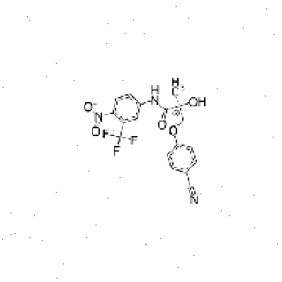 C[C@](O)(COc1ccc(C#N)cc1)C(=O)Nc1ccc([N+](=O)[O-])c(C(F)(F)F)c1